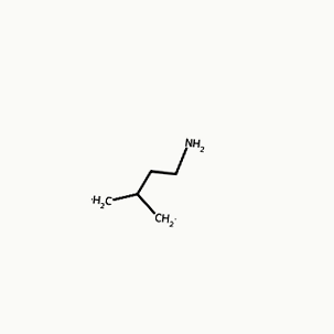 [CH2]C([CH2])CCN